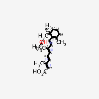 CC1=C(/C=C/C(C)=C/C=C/C(C)=C/C(=O)O)C(C)(C)CCC1.CO